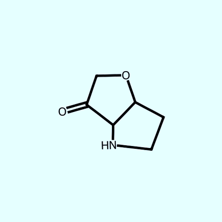 O=C1COC2CCNC12